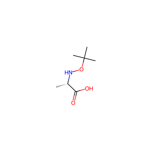 C[C@H](NOC(C)(C)C)C(=O)O